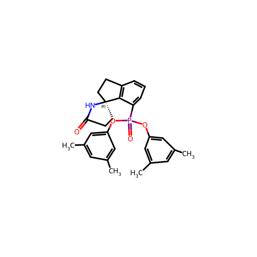 Cc1cc(C)cc(OP(=O)(Oc2cc(C)cc(C)c2)c2cccc3c2[C@]2(CCC(=O)N2)CC3)c1